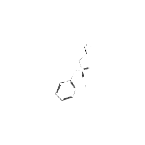 Cl.O=S(=O)(CCC(F)(F)F)Oc1ccccc1